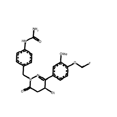 CCC1CC(=O)N(Cc2ccc(NC(N)=O)cc2)N=C1c1ccc(OCF)c(OC)c1